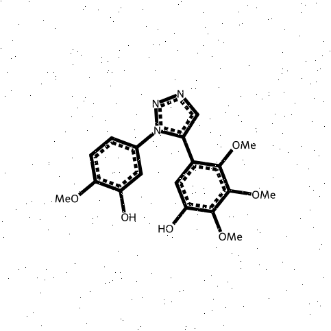 COc1ccc(-n2nncc2-c2cc(O)c(OC)c(OC)c2OC)cc1O